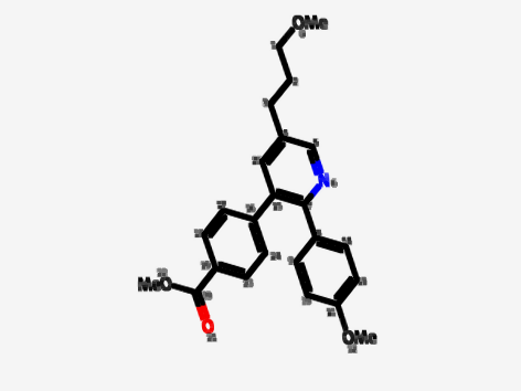 COCCCc1cnc(-c2ccc(OC)cc2)c(-c2ccc(C(=O)OC)cc2)c1